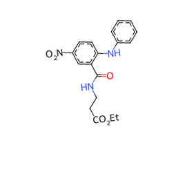 CCOC(=O)CCNC(=O)c1cc([N+](=O)[O-])ccc1Nc1ccccc1